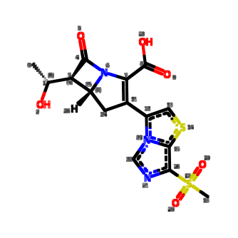 C[C@@H](O)[C@H]1C(=O)N2C(C(=O)O)=C(c3csc4c(S(C)(=O)=O)ncn34)C[C@H]12